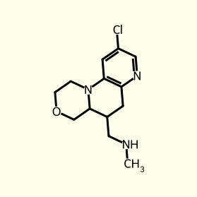 CNCC1Cc2ncc(Cl)cc2N2CCOCC12